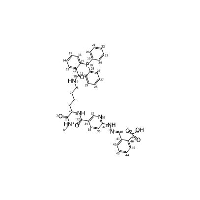 CNC(=O)C(CCCCNC(=O)c1ccccc1P(c1ccccc1)c1ccccc1)NC(=O)c1ccc(NN=Cc2ccccc2S(=O)(=O)O)nc1